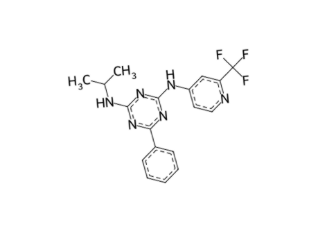 CC(C)Nc1nc(Nc2ccnc(C(F)(F)F)c2)nc(-c2ccccc2)n1